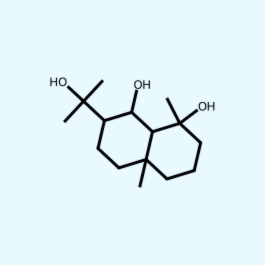 CC(C)(O)C1CCC2(C)CCCC(C)(O)C2C1O